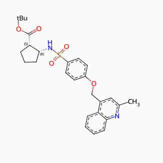 Cc1cc(COc2ccc(S(=O)(=O)N[C@@H]3CCC[C@@H]3C(=O)OC(C)(C)C)cc2)c2ccccc2n1